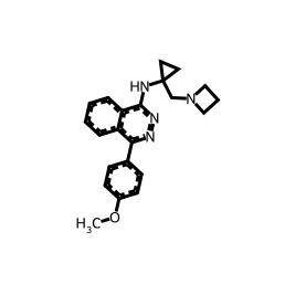 COc1ccc(-c2nnc(NC3(CN4CCC4)CC3)c3ccccc23)cc1